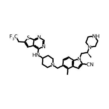 Cc1c(CN2CCC(Nc3ncnc4sc(CC(F)(F)F)cc34)CC2)ccc2c1cc(C#N)n2C[C@H](C)N1CCNCC1